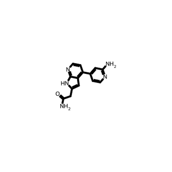 NC(=O)Cc1cc2c(-c3ccnc(N)c3)ccnc2[nH]1